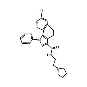 O=C(NCCN1CCCC1)c1nn(-c2ccccc2)c2c1CCc1cc(Cl)ccc1-2